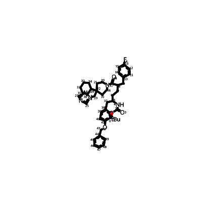 CC(C)(C)OC(=O)NC(CCC(Cc1ccc(F)cc1)C(=O)N1CCC(Cn2cncn2)(C2CCCCC2)CC1)Cc1ccc(OCc2ccccc2)cc1